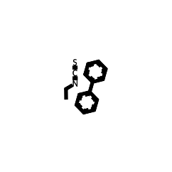 CCN=C=S.c1ccc(-c2ccccc2)cc1